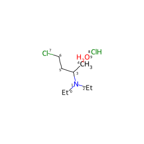 CCN(CC)C(C)CCCl.Cl.O